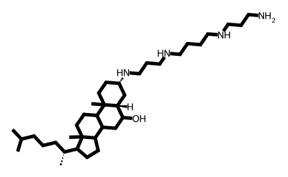 CC(C)CCC[C@@H](C)C1CCC2C3CC(O)[C@H]4C[C@@H](NCCCNCCCCNCCCN)CCC4(C)C3CCC21C